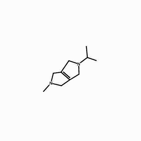 CC(C)N1CC2=C(CN(C)C2)C1